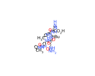 CCC(C)[C@@H](CN[C@@H](Cc1ccc(C)cc1)C(=O)N[C@H](Cc1c[nH]cn1)C(=O)O)NC(=O)[C@H](CCCCNC(N)=O)NC(=O)Cc1ccc(NC(=O)Nc2ccccc2C)cc1